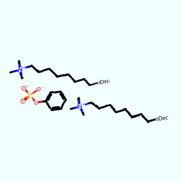 CCCCCCCCCCCCCCCCCC[N+](C)(C)C.CCCCCCCCCCCCCCCCCC[N+](C)(C)C.O=P([O-])([O-])Oc1ccccc1